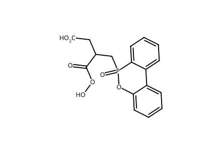 O=C(O)CC(CP1(=O)Oc2ccccc2-c2ccccc21)C(=O)OO